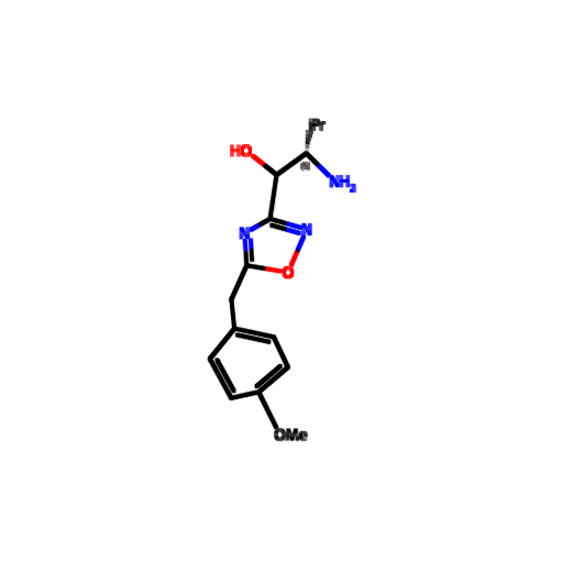 COc1ccc(Cc2nc(C(O)[C@@H](N)C(C)C)no2)cc1